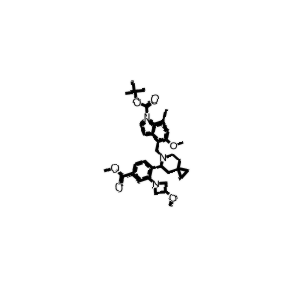 COC(=O)c1ccc(C2CC3(CCN2Cc2c(OC)cc(C)c4c2ccn4C(=O)OC(C)(C)C)CC3)c(N2CC(OC)C2)c1